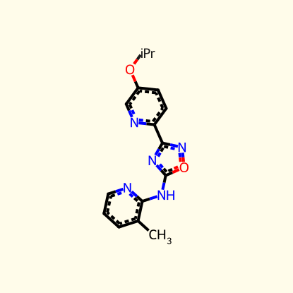 Cc1cccnc1Nc1nc(-c2ccc(OC(C)C)cn2)no1